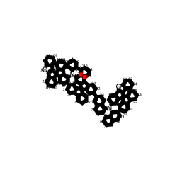 c1ccc(-c2ccccc2N(c2ccc3c(c2)C2(c4ccccc4-c4ccccc42)c2cc(-c4ccc5c(N(c6ccc7c(c6)C6(c8ccccc8-c8ccccc86)c6c-7oc7ccccc67)c6cccc7ccccc67)cccc5c4)ccc2-3)c2cccc3c2-c2ccccc2C32c3ccccc3-c3oc4ccccc4c32)cc1